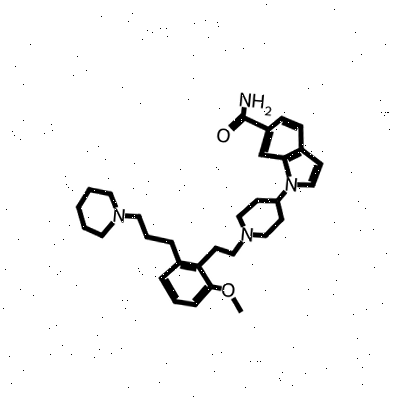 COc1cccc(CCCN2CCCCC2)c1CCN1CCC(n2ccc3ccc(C(N)=O)cc32)CC1